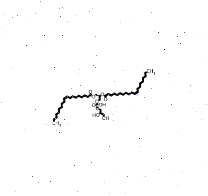 CCCCCCCC/C=C\CCCCCCCCCC(=O)O[C@H](COC(=O)CCCCCCC/C=C\CCCCCCCCC)COP(=O)(O)OC[C@@H](O)CO